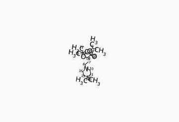 CC(C)OC(=O)[C@H](CCN1CCC(C)(C)CC1)OC(C)(C)C